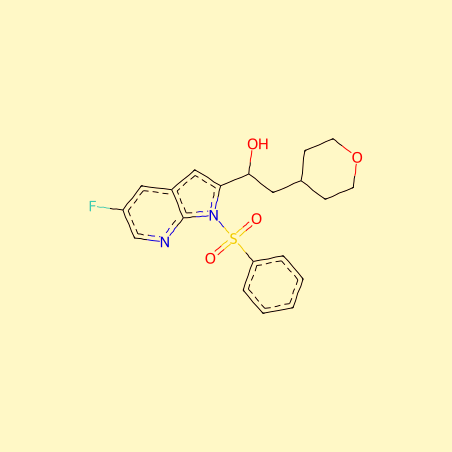 O=S(=O)(c1ccccc1)n1c(C(O)CC2CCOCC2)cc2cc(F)cnc21